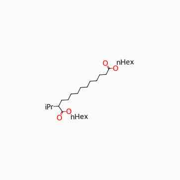 CCCCCCOC(=O)CCCCCCCCCCC(C(=O)OCCCCCC)C(C)C